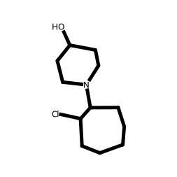 OC1CCN(C2CCCCCC2Cl)CC1